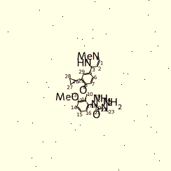 CN/C=C\C(=N)c1ccc(OCc2c(OC)cccc2N(N)C(=O)N(C)N)c(C2CC2)c1